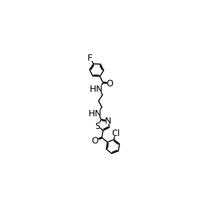 O=C(NCCCNc1ncc(C(=O)c2ccccc2Cl)s1)c1ccc(F)cc1